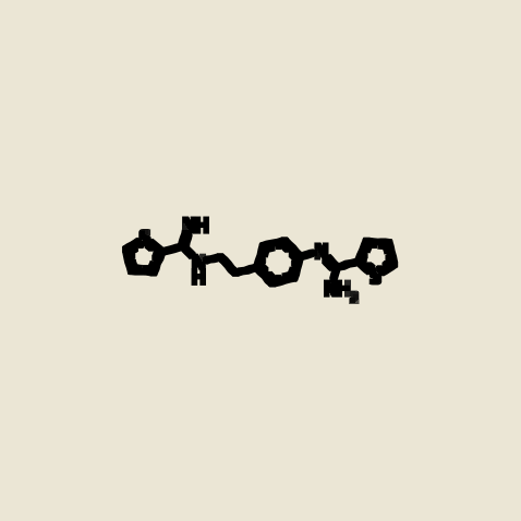 N=C(NCCc1ccc(N=C(N)c2cccs2)cc1)c1cccs1